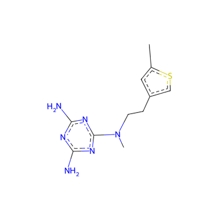 Cc1cc(CCN(C)c2nc(N)nc(N)n2)cs1